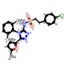 COc1cccc(OC)c1-n1c(NS(=O)(=O)CCc2ccc(Cl)cc2)nnc1-c1ccc(C(C)(C)C)o1